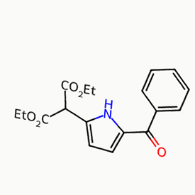 CCOC(=O)C(C(=O)OCC)c1ccc(C(=O)c2ccccc2)[nH]1